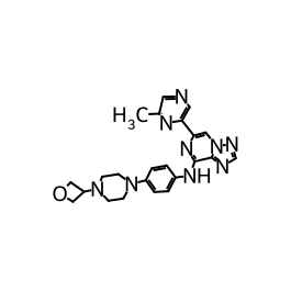 Cc1cncc(-c2cn3ncnc3c(Nc3ccc(N4CCN(C5COC5)CC4)cc3)n2)n1